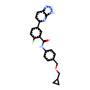 O=C(Nc1ccc(COCC2CC2)cc1)c1cc(-c2ccc3nn[nH]c3n2)ccc1F